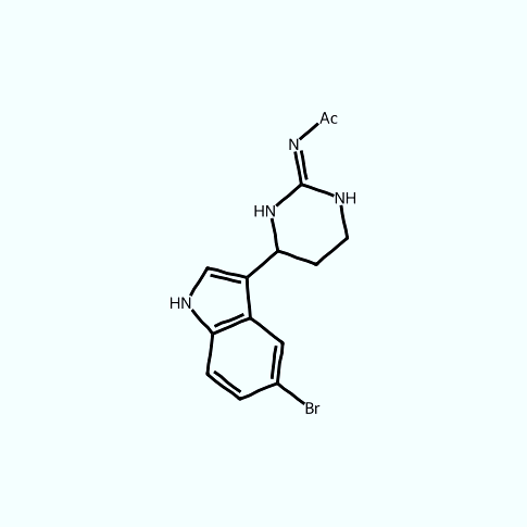 CC(=O)N=C1NCCC(c2c[nH]c3ccc(Br)cc23)N1